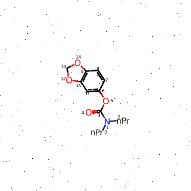 CCCN(CCC)C(=O)Oc1ccc2c(c1)OCO2